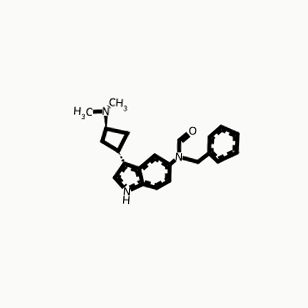 CN(C)[C@H]1C[C@H](c2c[nH]c3ccc(N(C=O)Cc4ccccc4)cc32)C1